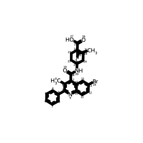 Cc1c(-c2ccccc2)nc2ccc(Br)cc2c1C(=O)NC12CCC(C(=O)O)(CC1)C(C)C2